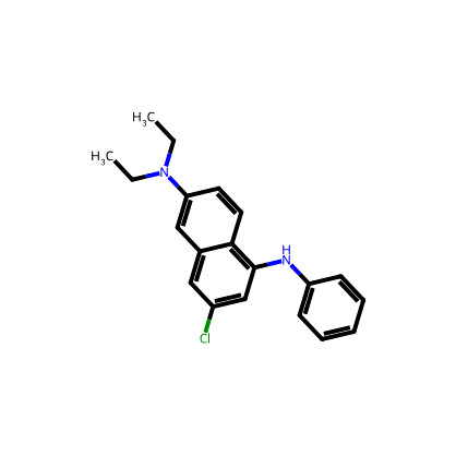 CCN(CC)c1ccc2c(Nc3ccccc3)cc(Cl)cc2c1